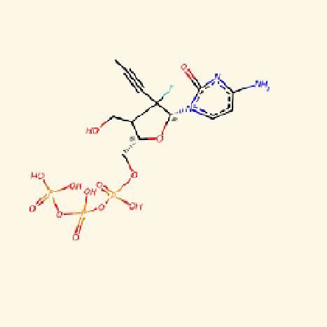 CC#CC1(F)C(CO)[C@@H](COP(=O)(O)OP(=O)(O)OP(=O)(O)O)O[C@H]1n1ccc(N)nc1=O